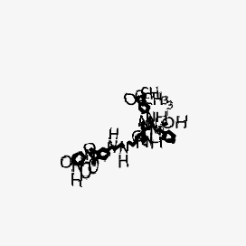 CC1(C)OC(=O)c2ccc(Nc3ncc(-c4nnc(CCNCCNc5ccc6c(c5)C(=O)N(C5CCC(=O)NC5=O)C6=O)o4)c(N[C@H](CO)c4ccccc4)n3)cc21